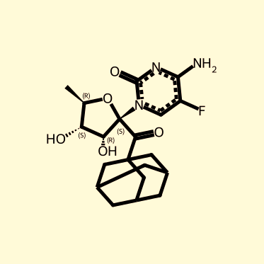 C[C@H]1O[C@@](C(=O)C23CC4CC(CC(C4)C2)C3)(n2cc(F)c(N)nc2=O)[C@H](O)[C@@H]1O